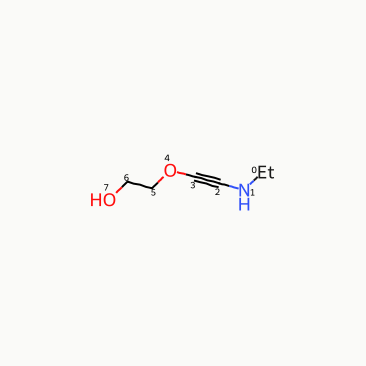 CCNC#COCCO